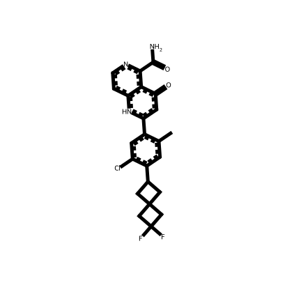 Cc1cc(C2CC3(C2)CC(F)(F)C3)c(Cl)cc1-c1cc(=O)c2c(C(N)=O)nccc2[nH]1